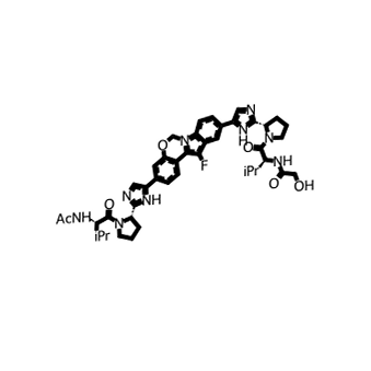 CC(=O)N[C@H](C(=O)N1CCC[C@H]1c1ncc(-c2ccc3c(c2)OCn2c-3c(F)c3cc(-c4cnc([C@@H]5CCCN5C(=O)[C@@H](NC(=O)CO)C(C)C)[nH]4)ccc32)[nH]1)C(C)C